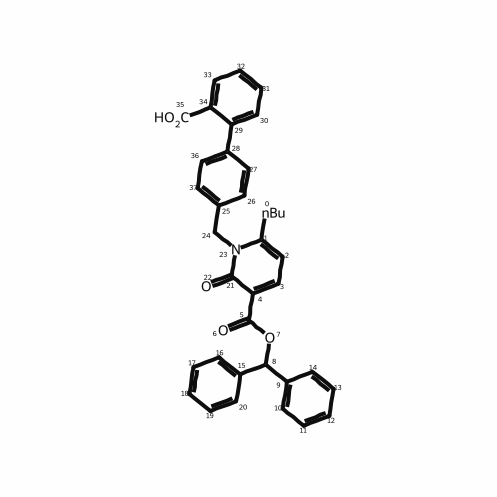 CCCCc1ccc(C(=O)OC(c2ccccc2)c2ccccc2)c(=O)n1Cc1ccc(-c2ccccc2C(=O)O)cc1